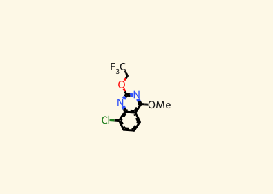 COc1nc(OCC(F)(F)F)nc2c(Cl)cccc12